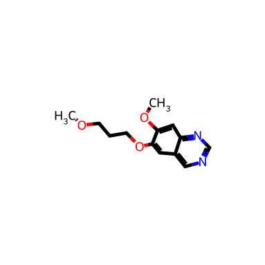 COCCCOc1cc2cncnc2cc1OC